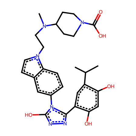 CC(C)c1cc(-c2nnc(O)n2-c2ccc3c(ccn3CCN(C)C3CCN(C(=O)O)CC3)c2)c(O)cc1O